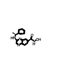 C[C@H](Nc1cnc2ccc(C(=O)NO)cc2n1)c1ccccc1